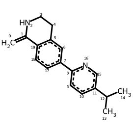 C=C1NCCc2cc(-c3ccc(C(C)C)cn3)ccc21